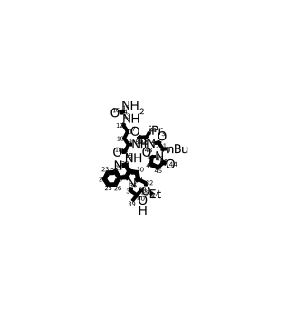 CCCCC(C(=O)NC(C(=O)NC(CCCNC(N)=O)C(=O)Nc1nc2ccccc2c2c1cc(COCC)n2CC(C)(C)O)C(C)C)N1C(=O)C=CC1=O